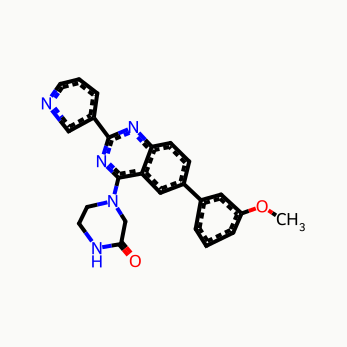 COc1cccc(-c2ccc3nc(-c4cccnc4)nc(N4CCNC(=O)C4)c3c2)c1